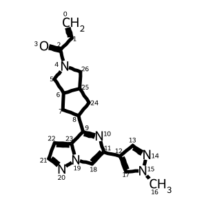 C=CC(=O)N1CC2CC(c3nc(-c4cnn(C)c4)cn4nccc34)CC2C1